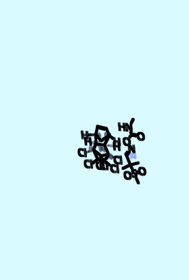 CNC(=O)O/N=C/C(C)(C)S(C)(=O)=O.ClC1=C(Cl)[C@]2(Cl)[C@H]3[C@H]([C@@H]4C=C[C@H]3C4)[C@@]1(Cl)C2(Cl)Cl